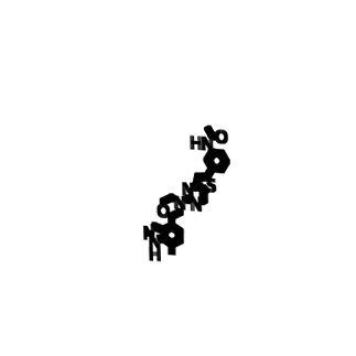 CC(=O)Nc1cccc(-c2cc3nc(N4CCOC(c5ccc(C)c6[nH]ncc56)C4)ncc3s2)c1